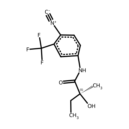 [C-]#[N+]c1ccc(NC(=O)[C@@](C)(O)CC)cc1C(F)(F)F